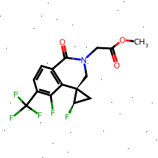 COC(=O)CN1C[C@]2(C[C@H]2F)c2c(ccc(C(F)(F)F)c2F)C1=O